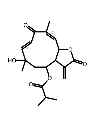 C=C1C(=O)OC2/C=C(/C)C(=O)/C=C/C(C)(O)CC(OC(=O)C(C)C)C12